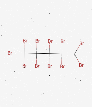 Br[C](Br)C(Br)(Br)C(Br)(Br)C(Br)(Br)C(Br)(Br)Br